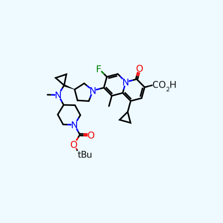 Cc1c(N2CC[C@@H](C3(N(C)C4CCN(C(=O)OC(C)(C)C)CC4)CC3)C2)c(F)cn2c(=O)c(C(=O)O)cc(C3CC3)c12